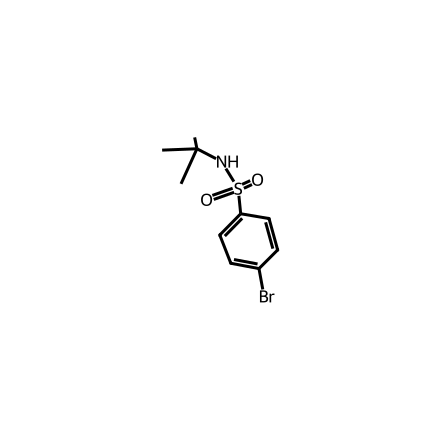 CC(C)(C)NS(=O)(=O)c1ccc(Br)cc1